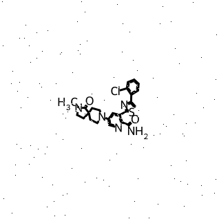 CN1CCC2(CCN(c3cnc(C(N)=O)c(-c4nc(-c5ccccc5Cl)cs4)c3)CC2)C1=O